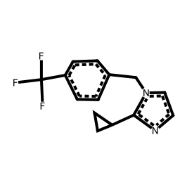 FC(F)(F)c1ccc(Cn2ccnc2C2CC2)cc1